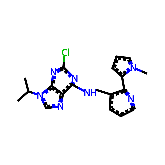 CC(C)n1cnc2c(NCc3cccnc3-c3cccn3C)nc(Cl)nc21